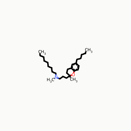 CCCCCCCCCN(C)CCCC1(C)CCc2cc(CCCCC)ccc2O1